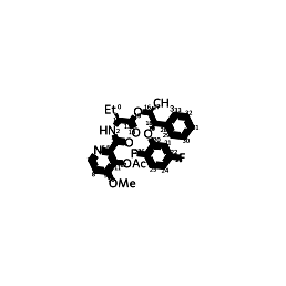 CC[C@H](NC(=O)c1nccc(OC)c1OC(C)=O)C(=O)O[C@@H](C)[C@H](Oc1cc(F)ccc1F)c1ccccc1